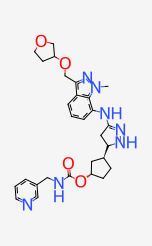 Cn1nc(COC2CCOC2)c2cccc(NC3=NNC([C@H]4CC[C@@H](OC(=O)NCc5cccnc5)C4)C3)c21